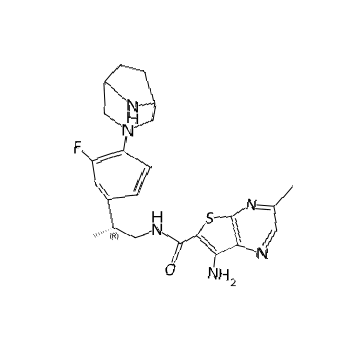 Cc1cnc2c(N)c(C(=O)NC[C@H](C)c3ccc(N4CC5CCC(C4)N5)c(F)c3)sc2n1